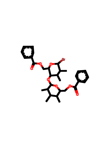 CC1C(Br)OC(COC(=O)c2ccccc2)C(OC2OC(COC(=O)c3ccccc3)C(C)C(C)C2C)C1C